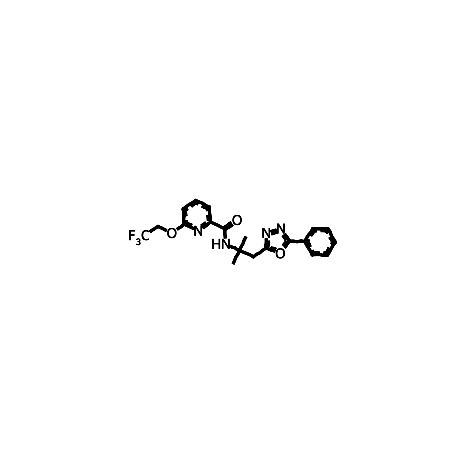 CC(C)(Cc1nnc(-c2ccccc2)o1)NC(=O)c1cccc(OCC(F)(F)F)n1